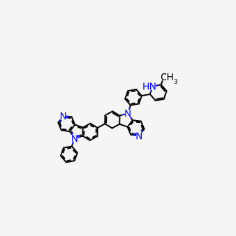 CC1=CC=CC(c2cccc(N3C4=CC=C(c5ccc6c(c5)c5cnccc5n6-c5ccccc5)CC4c4cnccc43)c2)N1